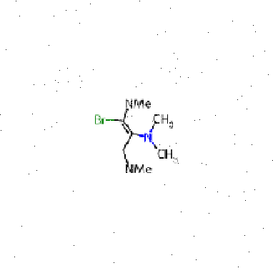 CNC/C(=C(\Br)NC)N(C)C